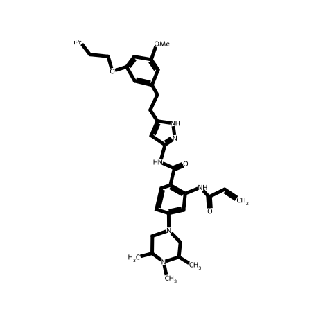 C=CC(=O)Nc1cc(N2CC(C)N(C)C(C)C2)ccc1C(=O)Nc1cc(CCc2cc(OC)cc(OCCC(C)C)c2)[nH]n1